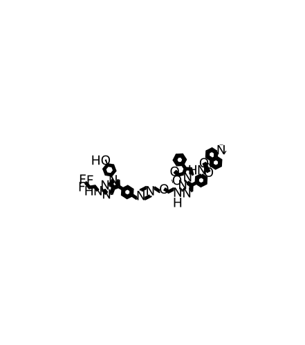 COC(=O)C1C(c2ccccc2)CCN1c1nc(NCCOCCN2CCN(Cc3ccc(-c4cn([C@H]5CC[C@H](O)CC5)c5nc(NCCC(F)(F)F)ncc45)cc3)CC2)ncc1-c1cccc(NS(=O)(=O)c2cccc3c(N(C)C)cccc23)c1